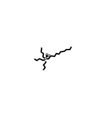 CCCCCCCCCCP(Br)(CCCC)(CCCC)CCCC